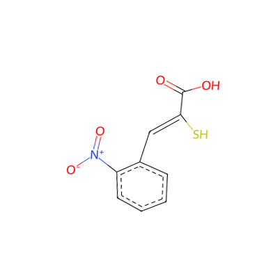 O=C(O)/C(S)=C/c1ccccc1[N+](=O)[O-]